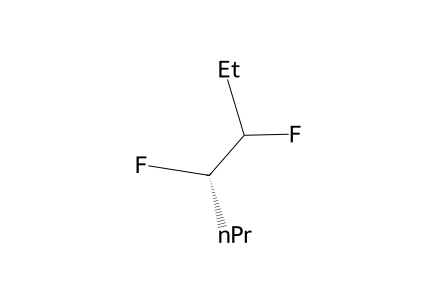 [CH2]CC(F)[C@@H](F)CCC